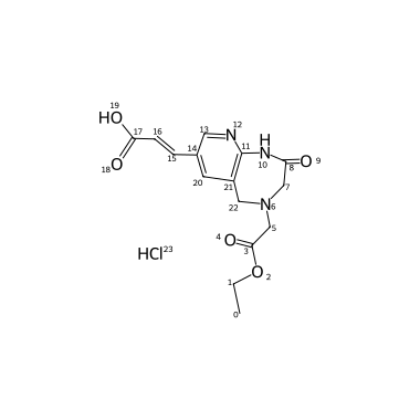 CCOC(=O)CN1CC(=O)Nc2ncc(/C=C/C(=O)O)cc2C1.Cl